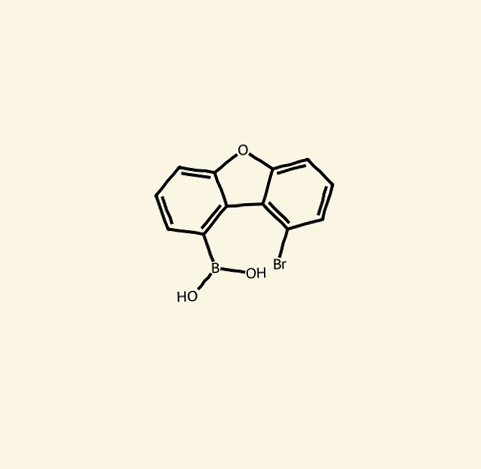 OB(O)c1cccc2oc3cccc(Br)c3c12